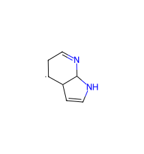 [CH]1CC=NC2NC=CC12